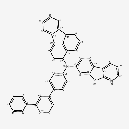 c1ccc(-c2cccc(-c3ccc(N(c4ccc5c(c4)sc4ncccc45)c4ccc5c6c(cccc46)-c4ccccc4-5)cc3)c2)cc1